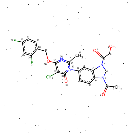 CC(=O)N1CN(C(=O)CO)c2cc(-n3c(C)nc(OCc4ccc(F)cc4F)c(Cl)c3=O)ccc21